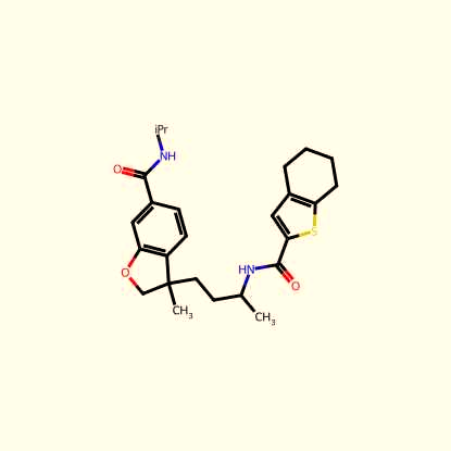 CC(C)NC(=O)c1ccc2c(c1)OCC2(C)CCC(C)NC(=O)c1cc2c(s1)CCCC2